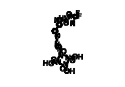 N#C[C@@H]1CC(F)(F)CN1C(=O)CNC(=O)c1ccnc2cc(-c3cccc(OCCCN4CCN(C(=O)CN5CCN(CC(=O)O)CCN(CC(=O)O)CCN(CC(=O)O)CC5)CC4)c3)ccc12